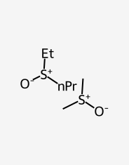 CCC[S+]([O-])CC.C[S+](C)[O-]